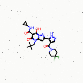 CC(C)(C)Cn1c(=O)c(C(=O)NC2CC2)c(O)n2nc(-c3[nH]ncc3C(=O)N3CCC(F)(F)CC3)cc12